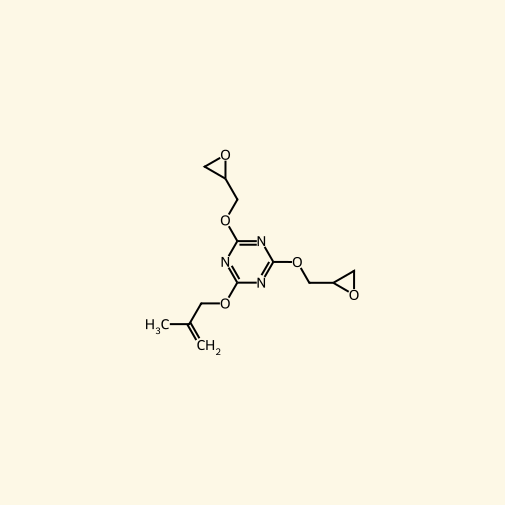 C=C(C)COc1nc(OCC2CO2)nc(OCC2CO2)n1